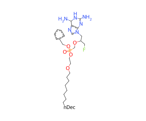 CCCCCCCCCCCCCCCCCCOCCOP(=O)(COC(CF)Cn1cnc2c1N=C(N)NC2N)OCc1ccccc1